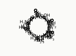 CCCC[C@H]1C(=O)N(C)[C@@H](CCCC)C(=O)N[C@@H](CC(C)C)C(=O)NCCSCC(=O)N[C@@H](Cc2ccc(O)cc2)C(=O)N(C)[C@@H](C)C(=O)N[C@@H](CC(N)=O)C(=O)N2CCCC2C(=O)N[C@@H](CNc2nc3ccccc3s2)C(=O)NCC(=O)N2C[C@H](O)CC2C(=O)N[C@@H](Cc2c[nH]c3ccccc23)C(=O)NC(N)C(=O)N[C@@H](Cc2cn(CC(=O)O)c3ccccc23)C(=O)N1C